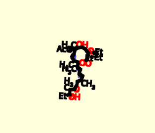 CCC(O)C(C)C1OC1CC(C)/C=C/C=C(\C)C1OC(=O)CC(O[Si](CC)(CC)CC)CCC(C)(O)C(OC(C)=O)/C=C/C1C